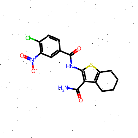 NC(=O)c1c(NC(=O)c2ccc(Cl)c([N+](=O)[O-])c2)sc2c1CCCC2